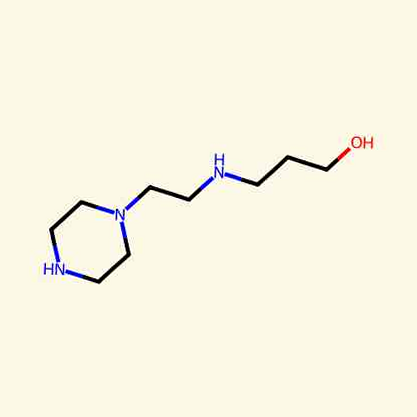 OCCCNCCN1CCNCC1